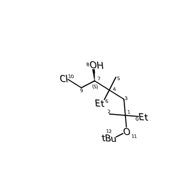 CCC(C)(CC(C)(CC)[C@H](O)CCl)OC(C)(C)C